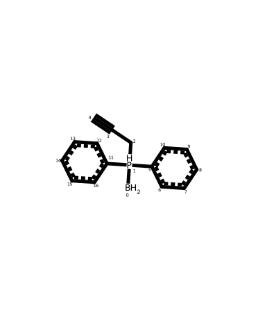 B[PH](CC#C)(c1ccccc1)c1ccccc1